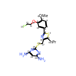 CCCc1sc(-c2ccc(OC)c(OCCF)c2)nc1CSc1nc(N)cc(N)n1